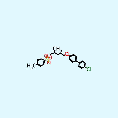 Cc1ccc(S(=O)(=O)OCC(C)CCCOc2ccc(-c3ccc(Cl)cc3)cc2)cc1